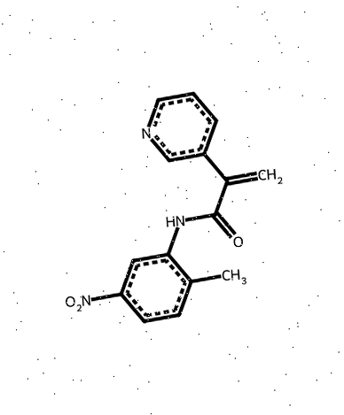 C=C(C(=O)Nc1cc([N+](=O)[O-])ccc1C)c1cccnc1